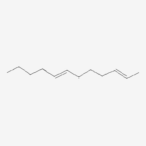 C/C=C/CC[CH]C=CCCCC